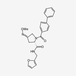 CON=C1C[C@@H](C(=O)NCc2ccco2)N(C(=O)c2ccc(-c3ccccc3)cc2)C1